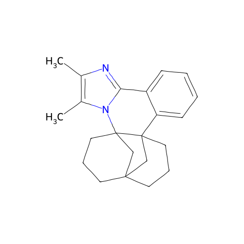 Cc1nc2n(c1C)C13CCCC4(CCCC1(C4)c1ccccc1-2)C3